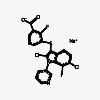 O=C([O-])c1cccc(Sc2c(Cl)n(-c3cccnc3)c3c(F)c(Cl)ccc23)c1F.[Na+]